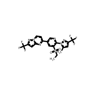 CCS(=O)(=O)c1cc(-c2ccn3nc(C(F)(F)F)cc3n2)cnc1-n1nc(C(F)(F)F)cc1C